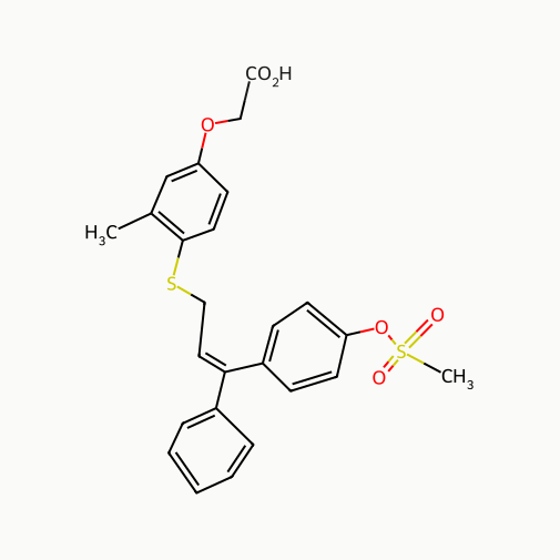 Cc1cc(OCC(=O)O)ccc1SC/C=C(/c1ccccc1)c1ccc(OS(C)(=O)=O)cc1